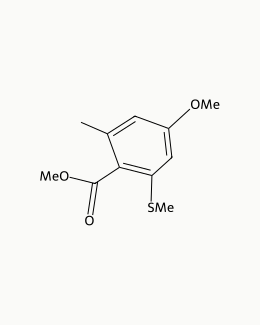 COC(=O)c1c(C)cc(OC)cc1SC